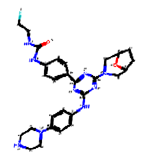 O=C(NCCF)Nc1ccc(-c2nc(Nc3ccc(N4CCNCC4)cc3)nc(N3CC4CCC(C3)O4)n2)cc1